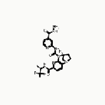 C[C@@H](NC(=O)C1C=CC2=C(N1)N(C(=O)Nc1cc(C(=O)NN)ccn1)[C@H]1CCN2C1)C(F)(F)F